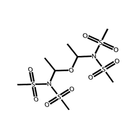 CC(OC(C)N(S(C)(=O)=O)S(C)(=O)=O)N(S(C)(=O)=O)S(C)(=O)=O